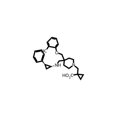 N#Cc1ccccc1OCC1(CN[C@@H]2C[C@H]2c2ccccc2)CCN(CC2(C(=O)O)CC2)CC1